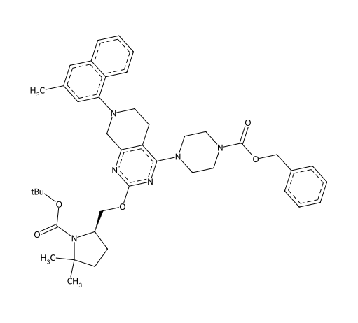 Cc1cc(N2CCc3c(nc(OC[C@H]4CCC(C)(C)N4C(=O)OC(C)(C)C)nc3N3CCN(C(=O)OCc4ccccc4)CC3)C2)c2ccccc2c1